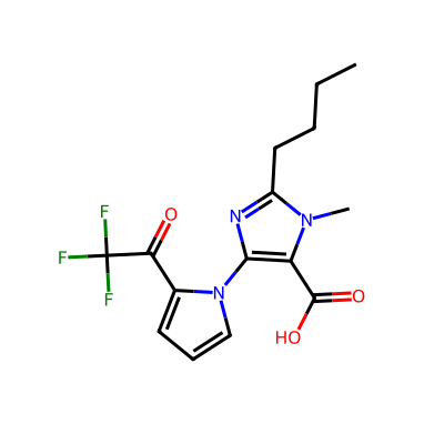 CCCCc1nc(-n2cccc2C(=O)C(F)(F)F)c(C(=O)O)n1C